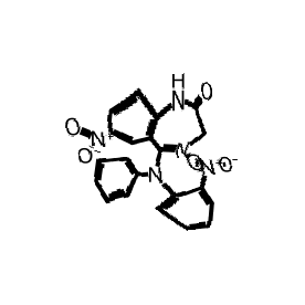 O=C1CN=C(N(c2ccccc2)c2ccccc2[N+](=O)[O-])c2cc([N+](=O)[O-])ccc2N1